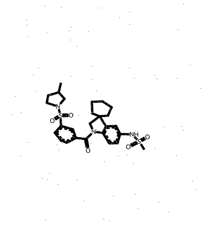 CC1CCN(S(=O)(=O)c2cccc(C(=O)N3CC4(CCCCC4)c4cc(NS(C)(=O)=O)ccc43)c2)C1